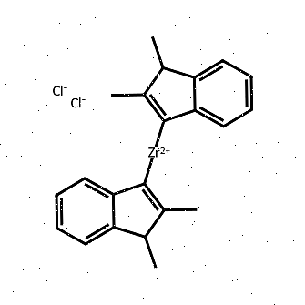 CC1=[C]([Zr+2][C]2=C(C)C(C)c3ccccc32)c2ccccc2C1C.[Cl-].[Cl-]